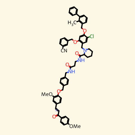 COc1ccc(C(=O)/C=C/c2ccc(OCc3ccc(CNC(=O)CCNC(=O)C4CCCCN4Cc4cc(Cl)c(OCc5cccc(-c6ccccc6)c5C)cc4OCc4cccc(C#N)c4)cc3)c(OC)c2)cc1